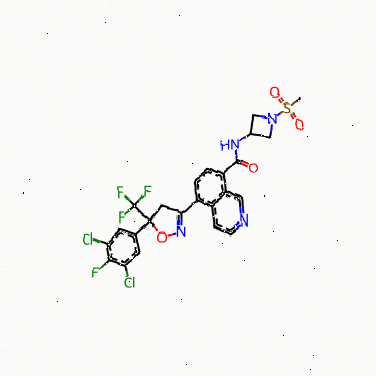 CS(=O)(=O)N1CC(NC(=O)c2ccc(C3=NOC(c4cc(Cl)c(F)c(Cl)c4)(C(F)(F)F)C3)c3ccncc23)C1